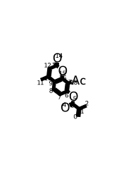 C=C(C)C(=O)Oc1ccc2c(C)cc(=O)oc2c1C(C)=O